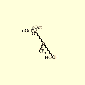 CCCCCCCCC(CCCCCCCC)OC(=O)CCCCCCCN(CCCCCCCC(O)O)CCCC(F)(F)F